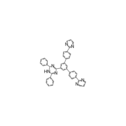 c1ccc(C2=NC(c3cc(-c4ccc(-c5ncccn5)cc4)cc(-c4ccc(-c5ncccn5)cc4)c3)=NC(c3ccccc3)N2)cc1